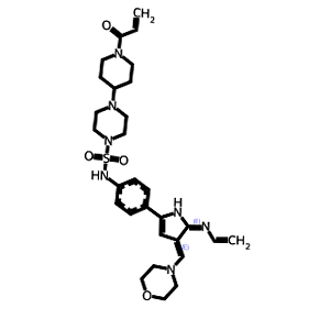 C=C/N=C1/NC(c2ccc(NS(=O)(=O)N3CCN(C4CCN(C(=O)C=C)CC4)CC3)cc2)=C/C1=C\N1CCOCC1